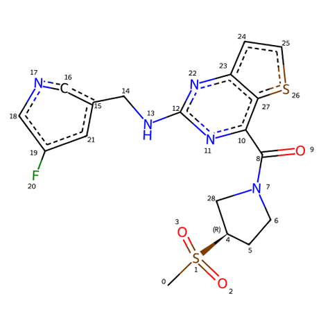 CS(=O)(=O)[C@@H]1CCN(C(=O)c2nc(NCc3cncc(F)c3)nc3ccsc23)C1